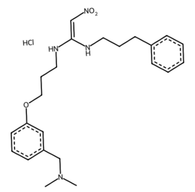 CN(C)Cc1cccc(OCCCNC(=C[N+](=O)[O-])NCCCc2ccccc2)c1.Cl